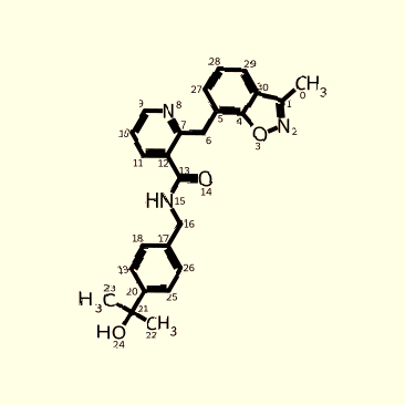 Cc1noc2c(Cc3ncccc3C(=O)NCc3ccc(C(C)(C)O)cc3)cccc12